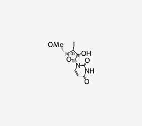 COC[C@H]1O[C@@H](n2ccc(=O)[nH]c2=O)[C@H](O)[C@@H]1I